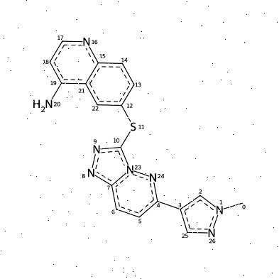 Cn1cc(-c2ccc3nnc(Sc4ccc5nccc(N)c5c4)n3n2)cn1